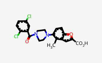 Cc1c(N2CCN(C(=O)c3cc(Cl)ccc3Cl)CC2)ccc2oc(C(=O)O)cc12